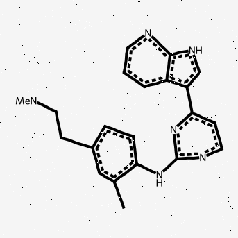 CNCCc1ccc(Nc2nccc(-c3c[nH]c4ncccc34)n2)c(C)c1